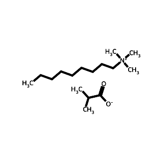 CC(C)C(=O)[O-].CCCCCCCCC[N+](C)(C)C